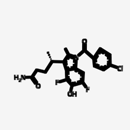 Cc1c([C@@H](C)CCC(N)=O)c2c(F)c(O)c(F)cc2n1C(=O)c1ccc(Cl)cc1